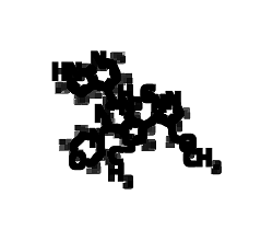 COCc1cnn(C)c1-c1csc2c(N3CCOC[C@H]3C)nc(-c3ccnc4[nH]ccc34)nc12